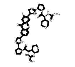 COC(=O)N[C@H](C(=O)N1CCC[C@H]1C1=NCC(c2ccc3oc4cc(C5CN=C([C@@H]6CCCN6C(=O)[C@@H](NC(=O)OC)C6CCOCC6)N5)c(F)cc4c(=O)c3c2)N1)C1CCOCC1